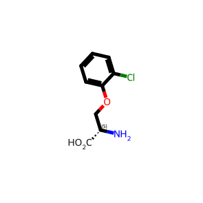 N[C@@H](COc1ccccc1Cl)C(=O)O